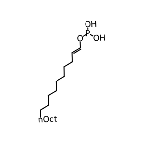 CCCCCCCCCCCCCCCCC=COP(O)O